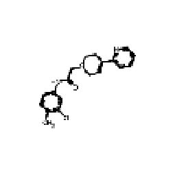 Cc1ccc(NC(=O)CN2CC=C(c3ccccn3)CC2)cc1Cl